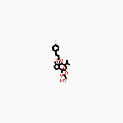 CC1CCC2[C@@H]1C(OC(=O)/C=C/c1ccc(F)cc1)C1(C(C)C)CC(OC(=O)CO)C2(C)O1